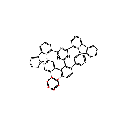 c1ccc(-c2ccccc2-c2c(-c3ccccc3)ccc(-c3ccccc3)c2-c2nc(-c3cccc4c3oc3ccccc34)nc(-c3cccc4c3oc3ccccc34)n2)cc1